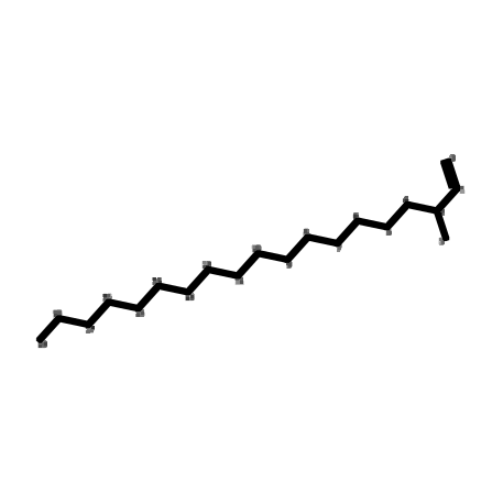 C=CC(C)CCCCCCCCCCCCCCCC